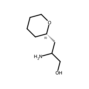 NC(CO)C[C@@H]1CCCCO1